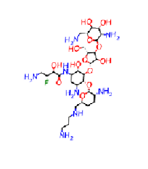 NCCCNC[C@@H]1CC[C@@H](N)[C@@H](O[C@H]2[C@H](O[C@@H]3O[C@H](CO)[C@@H](O[C@H]4O[C@@H](CN)[C@@H](O)[C@H](O)[C@H]4N)[C@H]3O)[C@@H](O)[C@H](NC(=O)[C@@H](O)[C@H](F)CN)C[C@@H]2N)O1